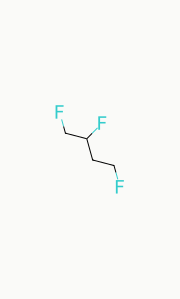 FCCC(F)CF